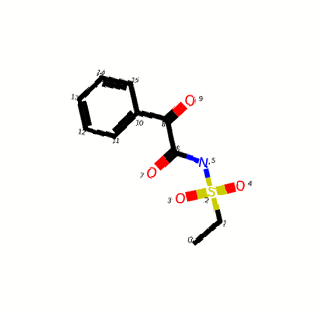 CCS(=O)(=O)[N]C(=O)C(=O)c1ccccc1